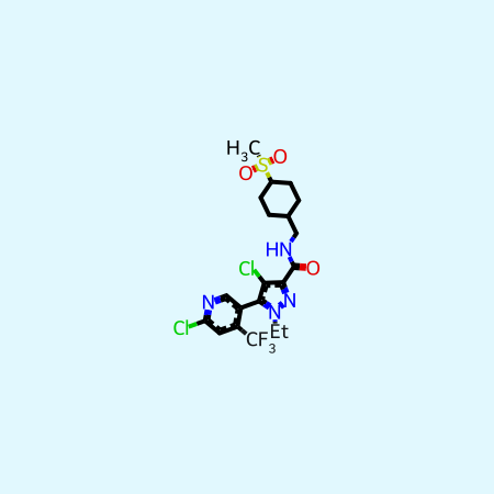 CCn1nc(C(=O)NCC2CCC(S(C)(=O)=O)CC2)c(Cl)c1-c1cnc(Cl)cc1C(F)(F)F